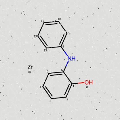 Oc1ccccc1Nc1ccccc1.[Zr]